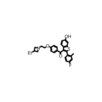 CCC1CN(CCOc2ccc(C(=O)c3c(-c4ccc(F)cc4C)sc4cc(O)ccc34)cc2)C1